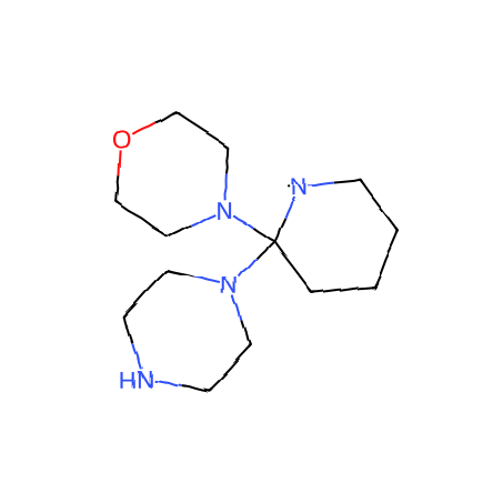 C1CCC(N2CCNCC2)(N2CCOCC2)[N]C1